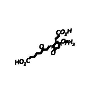 O=C(O)CCCCC(=O)CC[C@H]1C(=O)C[C@H](OP)[C@@H]1CCC(=O)O